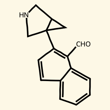 O=Cc1c(C23CNCC2C3)ccc2ccccc12